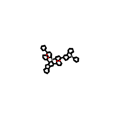 c1ccc(-c2ccc(N(c3ccc(-c4ccc5c(c4)c4ccccc4n5-c4ccccc4)cc3)c3c(-c4ccccc4)cc4c(c3-c3ccccc3)Cc3ccccc3-4)cc2)cc1